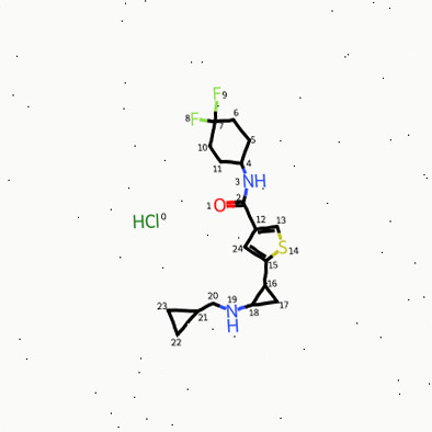 Cl.O=C(NC1CCC(F)(F)CC1)c1csc(C2CC2NCC2CC2)c1